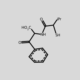 CC(C)C(S)C(=O)NC(C(=O)O)C(=O)c1ccccc1